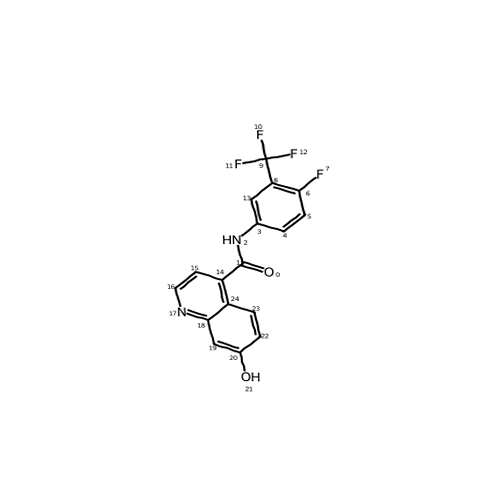 O=C(Nc1ccc(F)c(C(F)(F)F)c1)c1ccnc2cc(O)ccc12